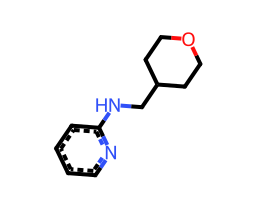 c1ccc(NCC2CCOCC2)nc1